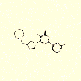 O=c1[nH]c(-c2ccnc(F)c2)nc(N2CCC(CN3CCOCC3)C2)c1Cl